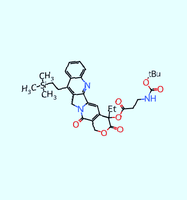 CCC1(OC(=O)CCNC(=O)OC(C)(C)C)C(=O)OCc2c1cc1n(c2=O)Cc2c-1nc1ccccc1c2CC[Si](C)(C)C